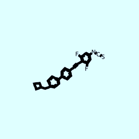 Fc1cc(N=C=S)cc(F)c1C#Cc1ccc(-c2ccc(CC3CCC3)cc2)cc1